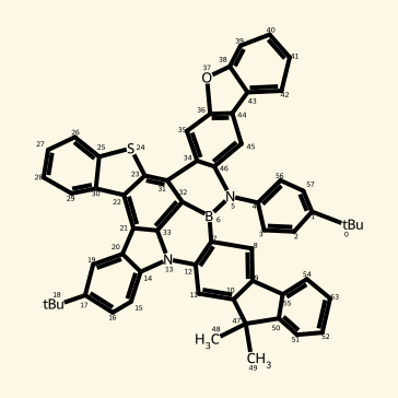 CC(C)(C)c1ccc(N2B3c4cc5c(cc4-n4c6ccc(C(C)(C)C)cc6c6c7c(sc8ccccc87)c(c3c64)-c3cc4oc6ccccc6c4cc32)C(C)(C)c2ccccc2-5)cc1